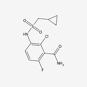 NC(=O)c1c(F)ccc(NS(=O)(=O)CC2CC2)c1Cl